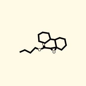 CCCCOC(=O)C1OC12CCCCC2C1CCCCC1